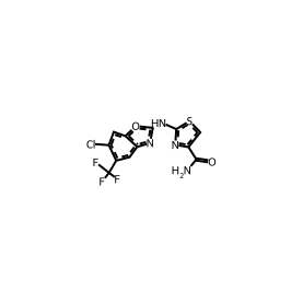 NC(=O)c1csc(Nc2nc3cc(C(F)(F)F)c(Cl)cc3o2)n1